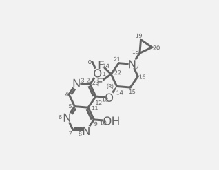 COc1ncc2ncnc(O)c2c1O[C@@H]1CCN(C2CC2)CC1(F)F